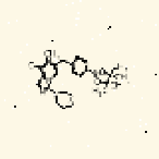 Cn1c(Cc2ccc(B3OC(C)(C)C(C)(C)O3)cc2)cn2c(C3=CCOCC3)ncc2c1=O